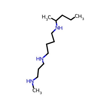 CCCC(C)NCCCCNCCCNC